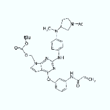 C=CC(=O)Nc1cccc(Oc2nc(Nc3ccc(N(C)C4CCN(C(C)=O)C4)cc3)nc3c2ccn3COC(=O)OC(C)(C)C)c1